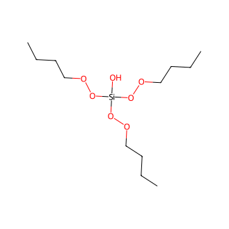 CCCCOO[Si](O)(OOCCCC)OOCCCC